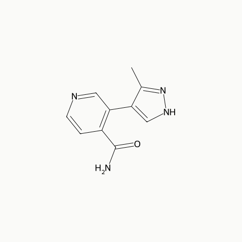 Cc1n[nH]cc1-c1cnccc1C(N)=O